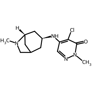 CN1CC2C[C@H](Nc3cnn(C)c(=O)c3Cl)C[C@@H]1C2